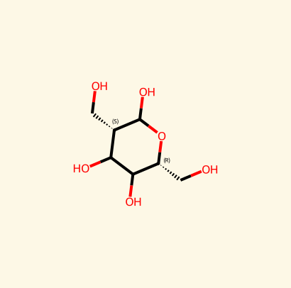 OC[C@@H]1C(O)O[C@H](CO)C(O)C1O